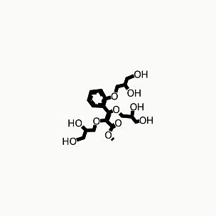 COC(=O)C(OCC(O)CO)=C(OCC(O)CO)c1ccccc1OCC(O)CO